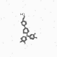 Cc1ccc(N(c2ccc(-c3ccc(CCO)cc3)cc2)c2ccc(C)c(C)c2)cc1C